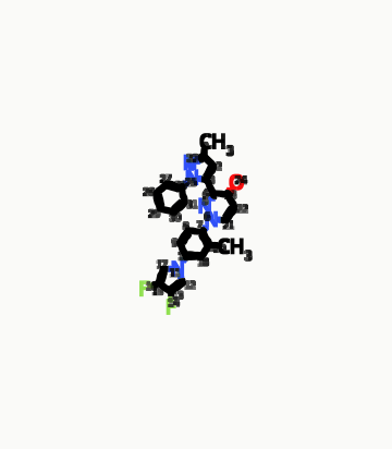 Cc1cc(-c2nn(-c3ccc(-n4cc(F)c(F)c4)cc3C)ccc2=O)n(-c2ccccc2)n1